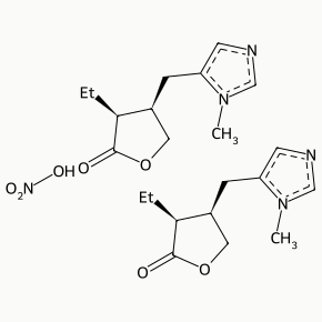 CC[C@@H]1C(=O)OC[C@@H]1Cc1cncn1C.CC[C@@H]1C(=O)OC[C@@H]1Cc1cncn1C.O=[N+]([O-])O